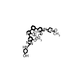 COc1nc(-c2cccc(-c3ccnc(-c4cc(OC)c5nc(CNC6CCC(O)CC6)nn5c4)c3Cl)c2Cl)ccc1CNC1CCN(C(C)=O)CC1